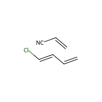 C=CC#N.C=CC=CCl